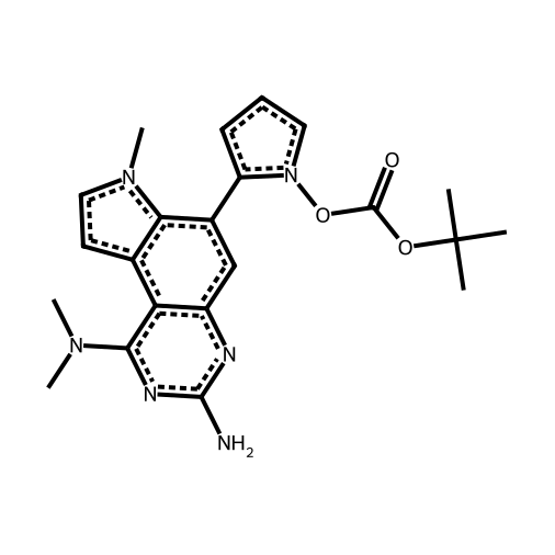 CN(C)c1nc(N)nc2cc(-c3cccn3OC(=O)OC(C)(C)C)c3c(ccn3C)c12